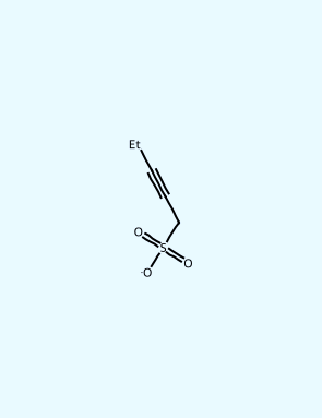 CCC#CCS([O])(=O)=O